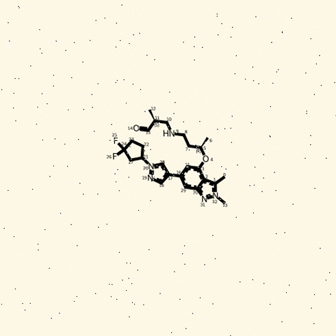 Cc1c2c(O[C@H](C)CCNC[C@H](C)C=O)cc(-c3cnn(C4CCC(F)(F)C4)c3)cc2nn1C